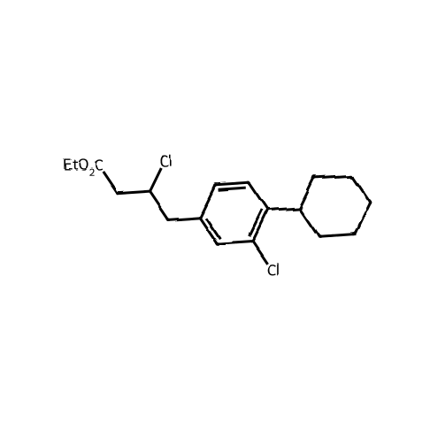 CCOC(=O)CC(Cl)Cc1ccc(C2CCCCC2)c(Cl)c1